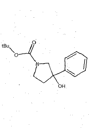 CC(C)(C)OC(=O)N1CCC(O)(c2ccccc2)C1